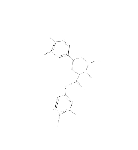 CN1C(C(=O)Nc2ccc(F)c(Cl)c2)CC(c2ccc(O)c(Cl)c2)N[S+]1[O-]